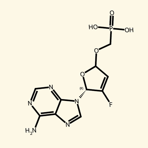 Nc1ncnc2c1ncn2[C@@H]1OC(OCP(=O)(O)O)C=C1F